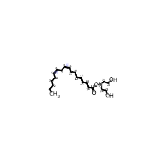 CCCCC/C=C\C/C=C\CCCCCCCC(=O)ON(CCO)CCO